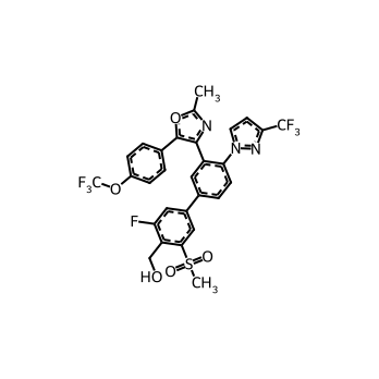 Cc1nc(-c2cc(-c3cc(F)c(CO)c(S(C)(=O)=O)c3)ccc2-n2ccc(C(F)(F)F)n2)c(-c2ccc(OC(F)(F)F)cc2)o1